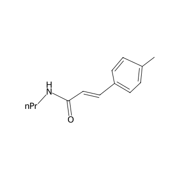 CCCNC(=O)/C=C/c1ccc(C)cc1